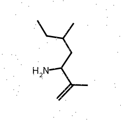 C=C(C)C(N)CC(C)CC